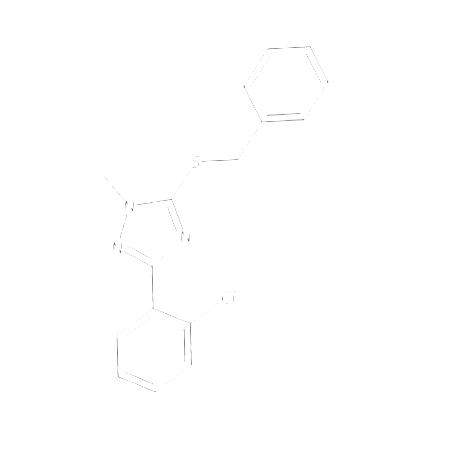 Cn1nc(-c2ccccc2Cl)nc1SCc1ccccc1